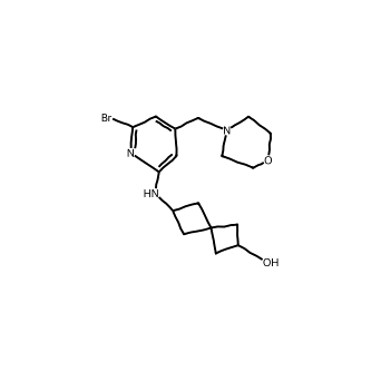 OC1CC2(C1)CC(Nc1cc(CN3CCOCC3)cc(Br)n1)C2